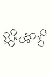 c1ccc(N(c2ccccc2)c2ccc3c(c2)Oc2ccc(N(c4ccccc4)c4cccc5sc6ccccc6c45)cc2S3)cc1